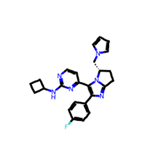 Fc1ccc(-c2nc3n(c2-c2ccnc(NC4CCC4)n2)[C@H](Cn2cccc2)CC3)cc1